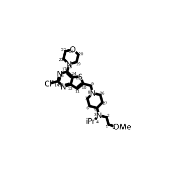 COCCN(C(C)C)C1CCN(Cc2cc3nc(Cl)nc(N4CCOCC4)c3s2)CC1